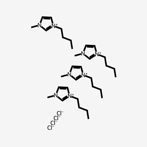 CCCC[n+]1ccn(C)c1.CCCC[n+]1ccn(C)c1.CCCC[n+]1ccn(C)c1.CCCC[n+]1ccn(C)c1.[Cl-].[Cl-].[Cl-].[Cl-]